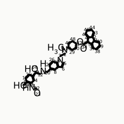 CN(CCn1ccc2cc(CNC[C@H](O)c3ccc(O)c(NC=O)c3)ccc21)C1CCC(OC(=O)C2c3ccccc3-c3ccccc32)CC1